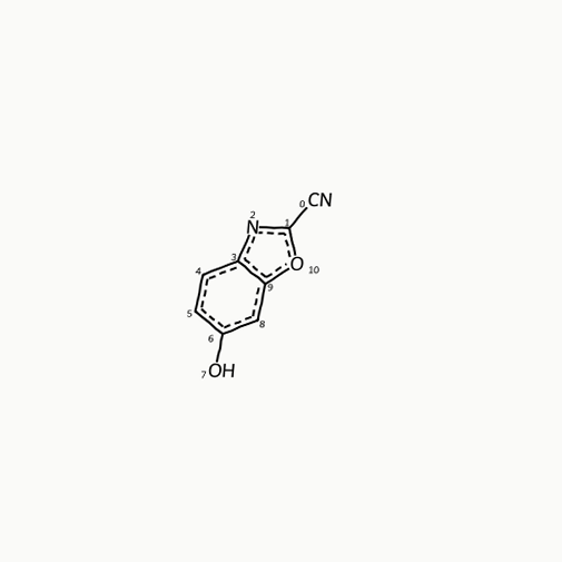 N#Cc1nc2ccc(O)cc2o1